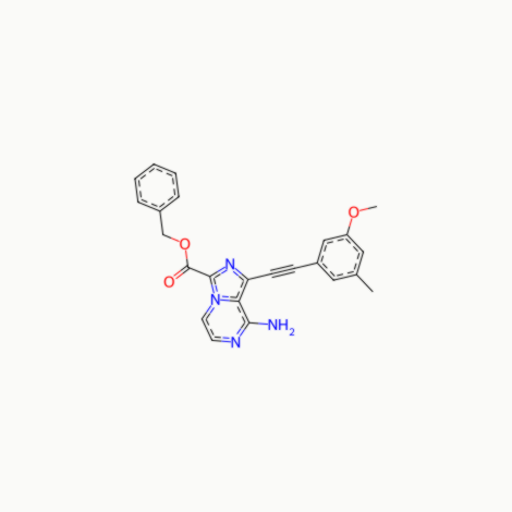 COc1cc(C)cc(C#Cc2nc(C(=O)OCc3ccccc3)n3ccnc(N)c23)c1